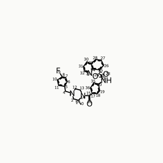 C[C@H]1CN(Cc2ccc(F)cc2)CCN1C(=O)c1ccc(NS(=O)(=O)c2cccc3cccnc23)cc1